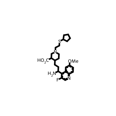 COc1ccc2ncc(F)c(C(N)CCC3CCN(CCSC4CCCC4)CC3C(=O)O)c2c1